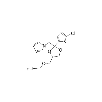 C#CCOCC1COC(Cn2ccnc2)(c2ccc(Cl)s2)O1